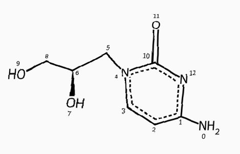 Nc1ccn(C[C@@H](O)CO)c(=O)n1